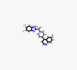 CC(c1nc2cc(F)c(F)cc2[nH]1)N1CCC(c2ccnc3ccc(F)cc23)CC1